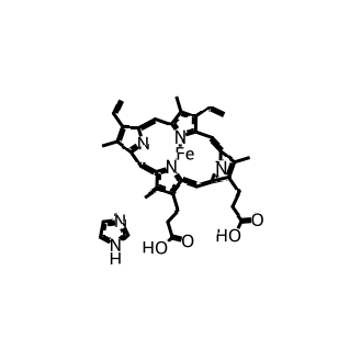 C=CC1=C(C)C2=NC/1=C\c1c(C)c(C=C)c3[n]1[Fe][n]1/c(c(C)c(CCC(=O)O)/c1=C/C1=NC(=C\3)/C(C)=C1CCC(=O)O)=C\2.c1c[nH]cn1